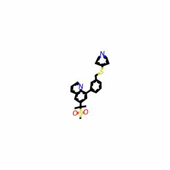 CC(C)(c1cc(-c2cccc(CSc3ccncc3)c2)c2ncccc2c1)S(C)(=O)=O